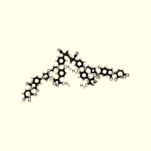 Cc1ccc(-c2c(C)noc2C)cc1N(CCOC1CCN(c2ccc3c(c2)C(=O)N(C2CCC(=O)NC2=O)C3=O)C1)c1ccc(C2(C#N)CC2C2CC2(C#N)c2ccc(N(CC3CC(Nc4cc5c(cc4F)CN(C4CCC(=O)NC4=O)C5=O)C3)c3cc(-c4c(C)noc4C)ccc3C)cc2)cc1